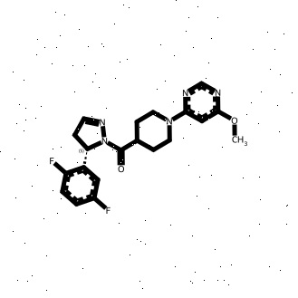 COc1cc(N2CCC(C(=O)N3N=CC[C@H]3c3cc(F)ccc3F)CC2)ncn1